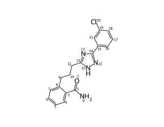 NC(=O)c1ccccc1CC[CH]c1nc(-c2cccc(Cl)c2)n[nH]1